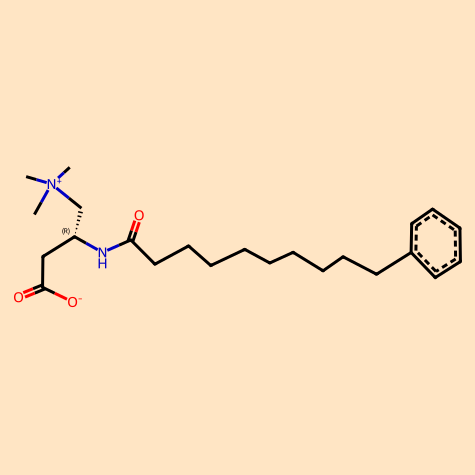 C[N+](C)(C)C[C@@H](CC(=O)[O-])NC(=O)CCCCCCCCCc1ccccc1